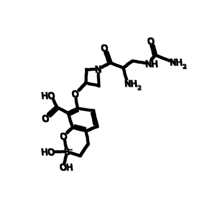 NC(=O)NCC(N)C(=O)N1CC(Oc2ccc3c(c2C(=O)O)O[B-](O)(O)CC3)C1